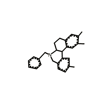 Cc1ccc2c(c1)C1c3cc(C)c(C)cc3CCC1N(Cc1ccccc1)C2